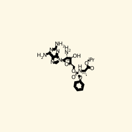 CC(C)OC(=O)[C@H](C)NP(=O)(OC[C@H]1O[C@@H](n2cnc3c(N)nc(N)nc32)[C@H](N)[C@@H]1O)Oc1ccccc1